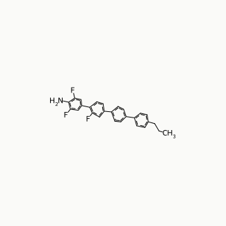 CCCc1ccc(-c2ccc(-c3ccc(-c4cc(F)c(N)c(F)c4)c(F)c3)cc2)cc1